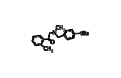 Cc1ccccc1C(=O)CN(C)Cc1ccc(C(C)(C)C)cc1